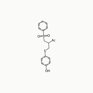 CC(=O)C(CSc1ccc(O)cc1)CS(=O)(=O)c1ccccc1